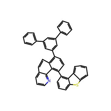 c1ccc(-c2cc(-c3ccccc3)cc(-c3ccc(-c4cccc5sc6ccccc6c45)c4c3ccc3cccnc34)c2)cc1